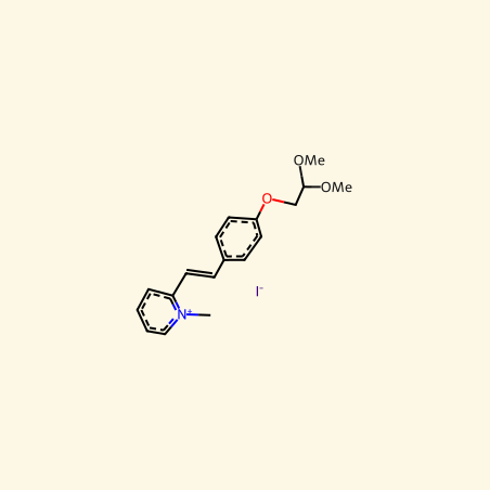 COC(COc1ccc(C=Cc2cccc[n+]2C)cc1)OC.[I-]